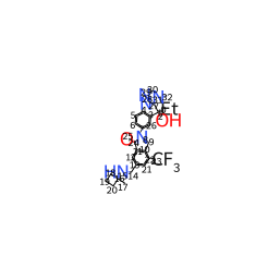 CCC(O)(c1cccc(N2Cc3c(cc(CNC4(C)CCC4)cc3C(F)(F)F)C2=O)c1)c1nncn1C